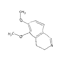 COc1ccc2c(c1OC)CCN=C2